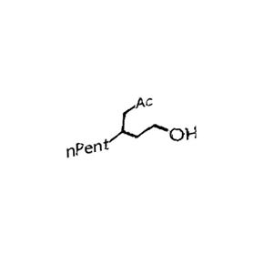 CCCCCC(CCO)CC(C)=O